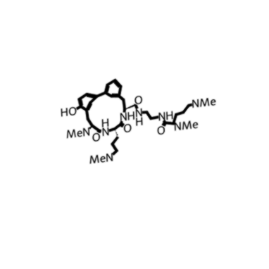 CNCCC[C@H](NC)C(=O)NCCNC(=O)[C@@H]1Cc2cccc(c2)-c2ccc(O)c(c2)C[C@H](NC)C(=O)N[C@@H](CCCNC)C(=O)N1